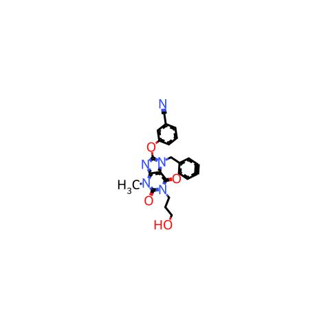 Cn1c(=O)n(CCCO)c(=O)c2c1nc(Oc1cccc(C#N)c1)n2Cc1cc#ccc1